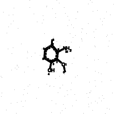 COc1c(O)ccc(C)c1N